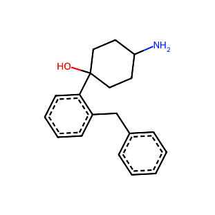 NC1CCC(O)(c2ccccc2Cc2ccccc2)CC1